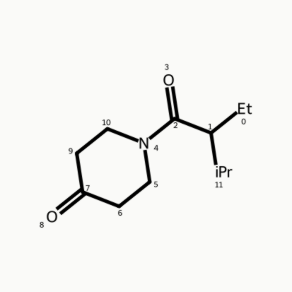 CCC(C(=O)N1CCC(=O)CC1)C(C)C